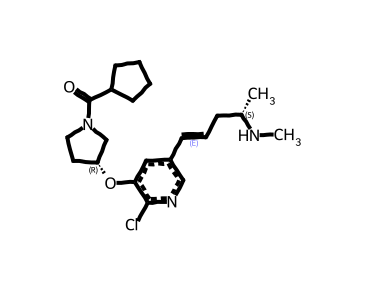 CN[C@@H](C)C/C=C/c1cnc(Cl)c(O[C@@H]2CCN(C(=O)C3CCCC3)C2)c1